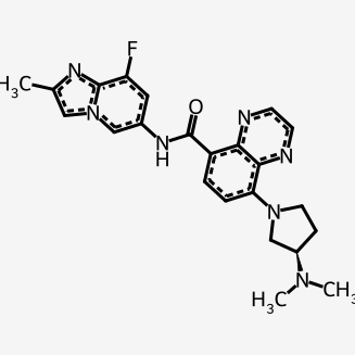 Cc1cn2cc(NC(=O)c3ccc(N4CC[C@@H](N(C)C)C4)c4nccnc34)cc(F)c2n1